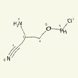 N#CC(N)COPCl